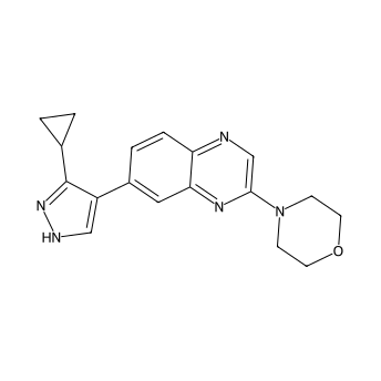 c1cc2ncc(N3CCOCC3)nc2cc1-c1c[nH]nc1C1CC1